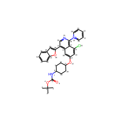 CC(C)(C)OC(=O)NC1CCC(Oc2cc(Cl)c3c(-[n+]4ccccc4)ncc(-c4cc5ccccc5o4)c3c2)CC1